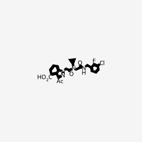 CC(=O)c1nn(CC(=O)N(CC(=O)NCc2cccc(Cl)c2F)C2CC2)c2cccc(C(=O)O)c12